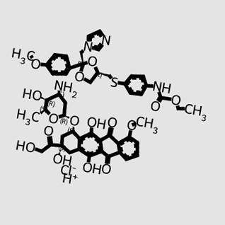 CCOC(=O)Nc1ccc(SC[C@H]2CO[C@](Cn3ccnc3)(c3ccc(OC)cc3)O2)cc1.COc1cccc2c1C(=O)c1c(O)c3c(c(O)c1C2=O)C[C@@](O)(C(=O)CO)C[C@@H]3O[C@H]1C[C@H](N)[C@@H](O)[C@H](C)O1.[Cl-].[H+]